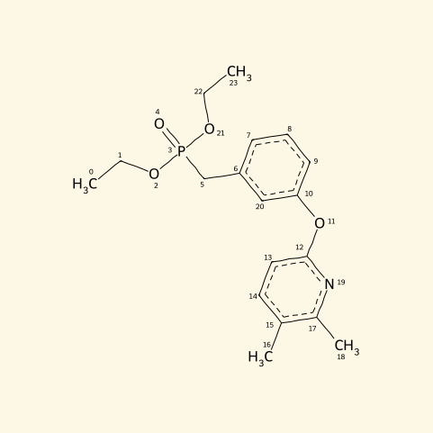 CCOP(=O)(Cc1cccc(Oc2ccc(C)c(C)n2)c1)OCC